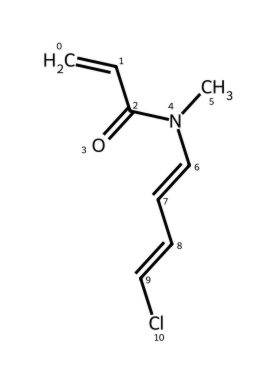 C=CC(=O)N(C)/C=C/C=C/Cl